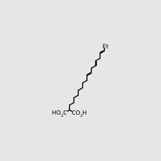 CCC=CCC=CCC=CCCCCCCCCC(C(=O)O)C(=O)O